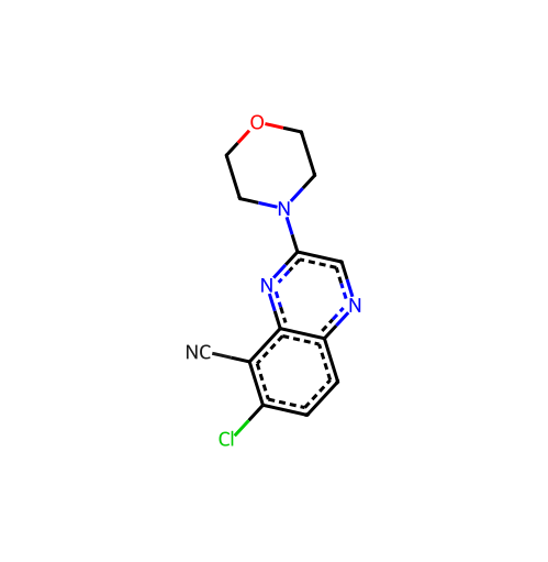 N#Cc1c(Cl)ccc2ncc(N3CCOCC3)nc12